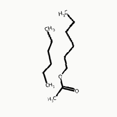 CCCCCC.CCCCCCOC(C)=O